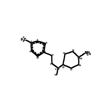 CN(CCc1ccc(C(F)(F)F)cc1)C1CCN(N)CC1